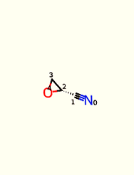 N#C[C@H]1CO1